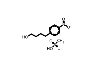 CS(=O)(=O)O.O=[N+]([O-])c1ccc(CCCCO)cc1